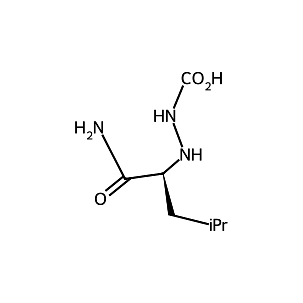 CC(C)C[C@H](NNC(=O)O)C(N)=O